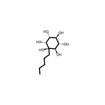 CCCCC[C@]1(O)[C@H](O)[C@H](O)[C@@H](O)[C@H](O)[C@H]1O